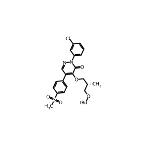 C[C@@H](COc1c(-c2ccc(S(C)(=O)=O)cc2)cnn(-c2cccc(Cl)c2)c1=O)COC(C)(C)C